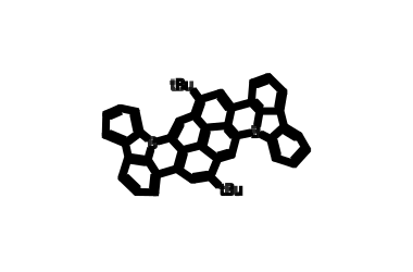 CC(C)(C)c1cc2c3c(cc4c(C(C)(C)C)cc5c6c(cc1c3c46)B1c3ccccc3-c3cccc-5c31)B1c3ccccc3-c3cccc-2c31